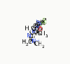 C=C(NCC)c1cncc(-c2cc(C)c3c(n2)C(C)(C)N(c2cnn(CC(F)(F)F)c2)C3=O)c1